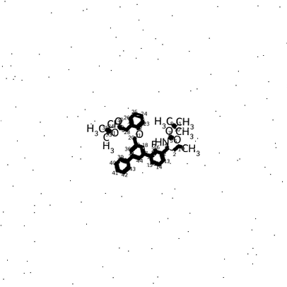 CCC[C@@H](NC(=O)OC(C)(C)C)c1cccc(-c2cc(COc3ccccc3CC(=O)OC(C)(C)C)cc(-c3ccccc3)c2)c1F